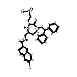 CCN(CC)CC[C@@H]1NC(CNC(=O)c2ccc3cc(F)ccc3c2)CCN(CC(c2ccccc2)c2ccccc2)C1=O